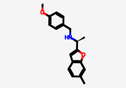 COc1ccc(CN[C@H](C)c2cc3ccc(C)cc3o2)cc1